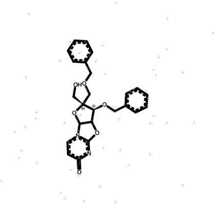 O=c1ccn2c(n1)OC1C2O[C@](CO)(COCc2ccccc2)[C@H]1OCc1ccccc1